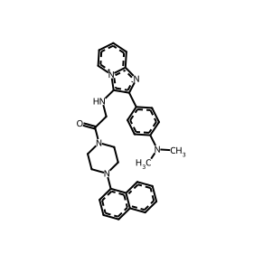 CN(C)c1ccc(-c2nc3ccccn3c2NCC(=O)N2CCN(c3cccc4ccccc34)CC2)cc1